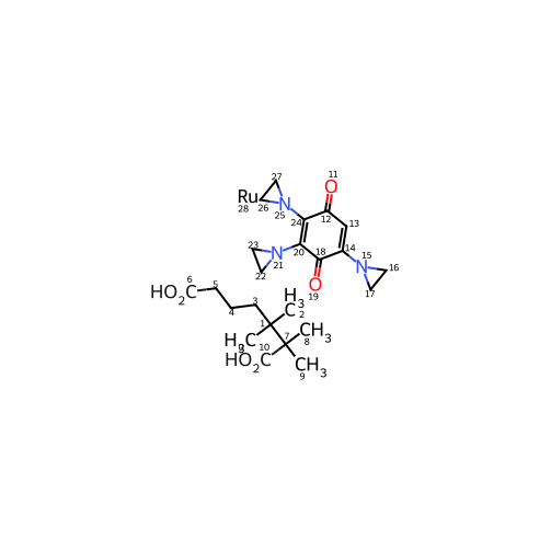 CC(C)(CCCC(=O)O)C(C)(C)C(=O)O.O=C1C=C(N2CC2)C(=O)C(N2CC2)=C1N1CC1.[Ru]